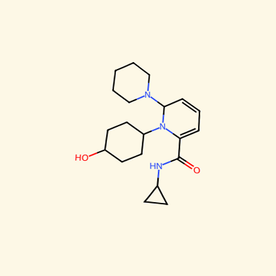 O=C(NC1CC1)C1=CC=CC(N2CCCCC2)N1C1CCC(O)CC1